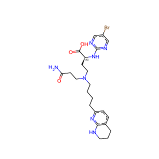 NC(=O)CCN(CCCCc1ccc2c(n1)NCCC2)CC[C@H](Nc1ncc(Br)cn1)C(=O)O